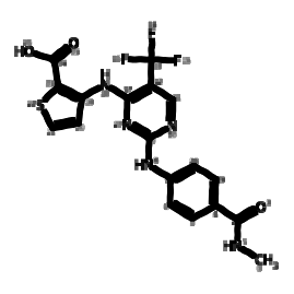 CNC(=O)c1ccc(Nc2ncc(C(F)(F)F)c(Nc3ccsc3C(=O)O)n2)cc1